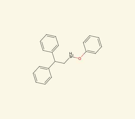 c1ccc(O[SiH2]CC(c2ccccc2)c2ccccc2)cc1